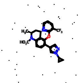 C[C@H]1CCc2c(ccc(-c3cnn(C4CC4)c3)c2Oc2ncccc2C(F)(F)F)N1C(=O)O